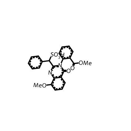 COC(=O)c1ccccc1-n1c(C(c2ccccc2)S(=O)(=O)O)nc2c(OC)cccc2c1=O